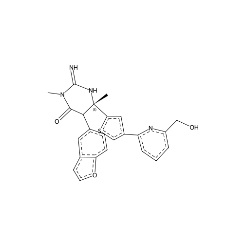 CN1C(=N)N[C@](C)(c2cc(-c3cccc(CO)n3)cs2)C(c2ccc3occc3c2)C1=O